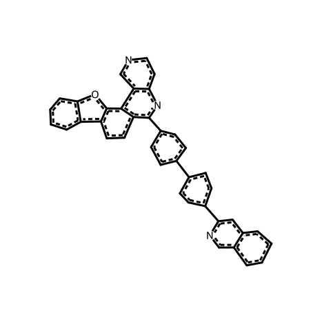 c1ccc2cc(-c3ccc(-c4ccc(-c5nc6ccncc6c6c5ccc5c7ccccc7oc56)cc4)cc3)ncc2c1